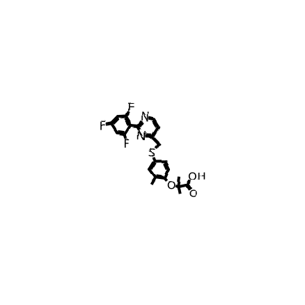 Cc1cc(SCc2ccnc(-c3c(F)cc(F)cc3F)n2)ccc1OC(C)(C)C(=O)O